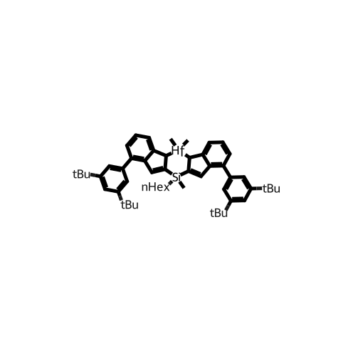 CCCCCC[Si]1(C)C2=Cc3c(-c4cc(C(C)(C)C)cc(C(C)(C)C)c4)cccc3[CH]2[Hf]([CH3])([CH3])[CH]2C1=Cc1c(-c3cc(C(C)(C)C)cc(C(C)(C)C)c3)cccc12